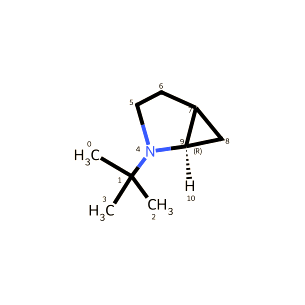 CC(C)(C)N1CCC2C[C@H]21